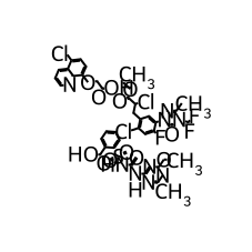 CCOC(=O)C(Cl)Cc1cc(-n2nc(C)n(C(F)F)c2=O)c(F)cc1Cl.COc1nc(C)nc(NC(=O)NS(=O)(=O)c2ccccc2C(=O)O)n1.O=C(O)COc1ccc(Cl)c2cccnc12